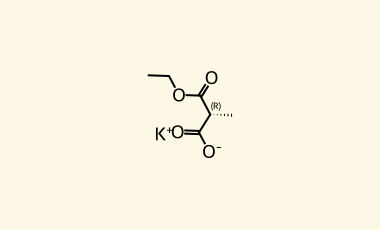 CCOC(=O)[C@H](C)C(=O)[O-].[K+]